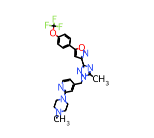 Cc1nc(-c2cc(-c3ccc(OC(F)(F)F)cc3)on2)nn1Cc1ccnc(N2CCN(C)CC2)c1